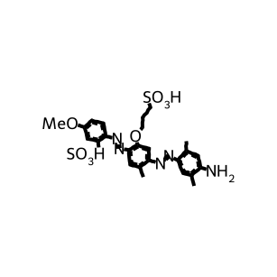 COc1ccc(N=Nc2cc(C)c(N=Nc3cc(C)c(N)cc3C)cc2OCCCS(=O)(=O)O)c(S(=O)(=O)O)c1